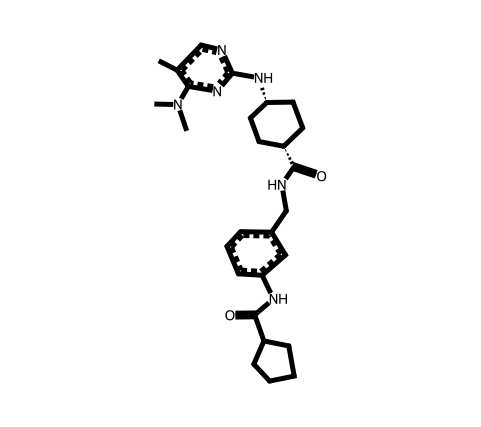 Cc1cnc(N[C@H]2CC[C@@H](C(=O)NCc3cccc(NC(=O)C4CCCC4)c3)CC2)nc1N(C)C